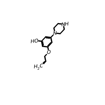 C=CCOc1cc(O)cc(N2CCNCC2)c1